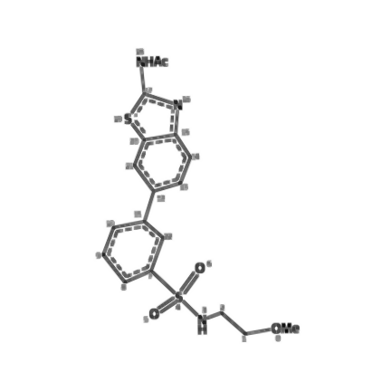 COCCNS(=O)(=O)c1cccc(-c2ccc3nc(NC(C)=O)sc3c2)c1